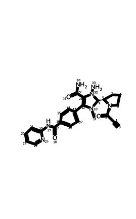 C#CC(=O)N1CCC[C@H]1C1N(C)C(c2ccc(C(=O)Nc3ccccn3)cc2)=C(C(N)=O)N1N